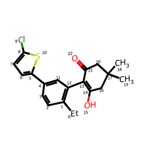 CCc1ccc(-c2ccc(Cl)s2)cc1C1=C(O)CC(C)(C)CC1=O